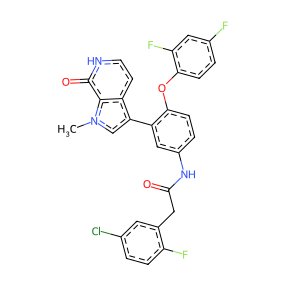 Cn1cc(-c2cc(NC(=O)Cc3cc(Cl)ccc3F)ccc2Oc2ccc(F)cc2F)c2cc[nH]c(=O)c21